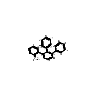 N#Cc1cccc(C#N)c1-c1cccc(-c2ccccc2)c1-c1ccccc1